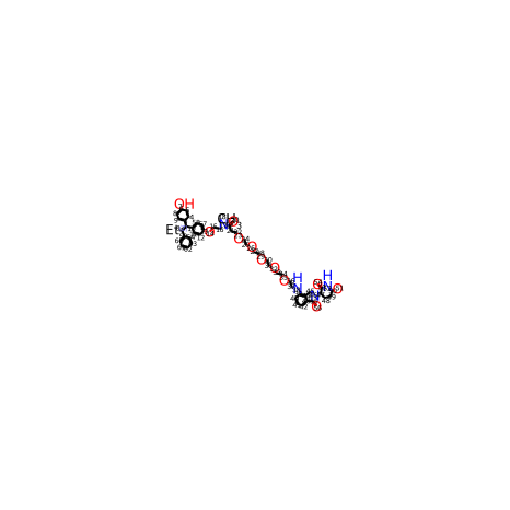 CC/C(=C(\c1ccc(O)cc1)c1ccc(OCCN(C)C(=O)CCOCCOCCOCCOCCOCCNc2cccc3c2CN(C2CCC(=O)NC2=O)C3=O)cc1)c1ccccc1